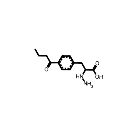 CCCC(=O)c1ccc(CC(NN)C(=O)O)cc1